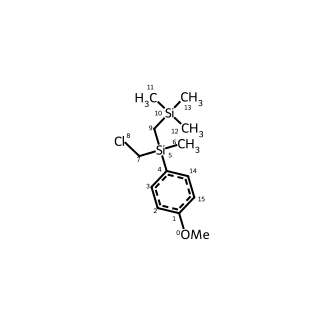 COc1ccc([Si](C)(CCl)C[Si](C)(C)C)cc1